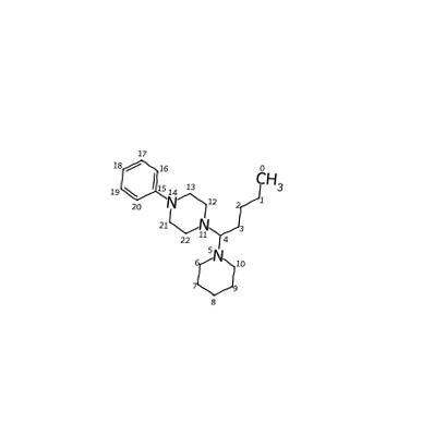 CCCCC(N1CCCCC1)N1CCN(c2ccccc2)CC1